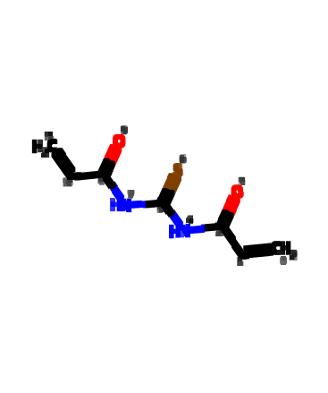 C=CC(=O)NC(=S)NC(=O)C=C